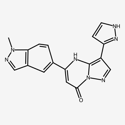 Cn1ncc2cc(-c3cc(=O)n4ncc(-c5cc[nH]n5)c4[nH]3)ccc21